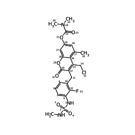 CNS(=O)(=O)Nc1cccc(Cc2c(CCl)c3c(C)cc(OC(=O)N(C)C)cc3oc2=O)c1F